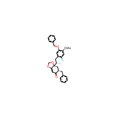 COc1cc(F)c(C[C@H](C)[C@]23C[C@@H](Cc4ccccc4)C(=O)C=C2OCO3)cc1OCc1ccccc1